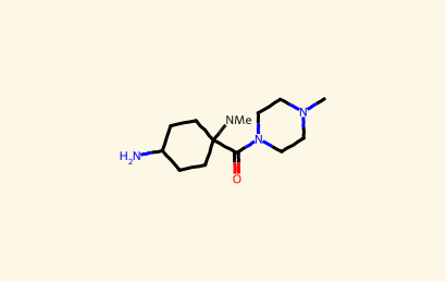 CNC1(C(=O)N2CCN(C)CC2)CCC(N)CC1